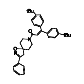 CC(C)(C)c1ccc(C(=CC(=O)N2CCC3(CC2)CC(c2ccccc2)=NO3)c2ccc(C(C)(C)C)cc2)cc1